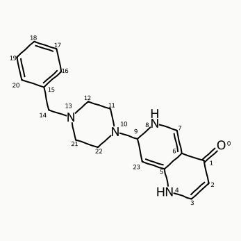 O=c1cc[nH]c2c1=CNC(N1CCN(Cc3ccccc3)CC1)C=2